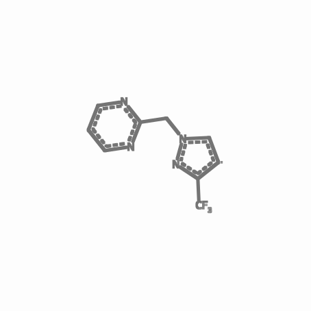 FC(F)(F)c1[c]cn(Cc2ncccn2)n1